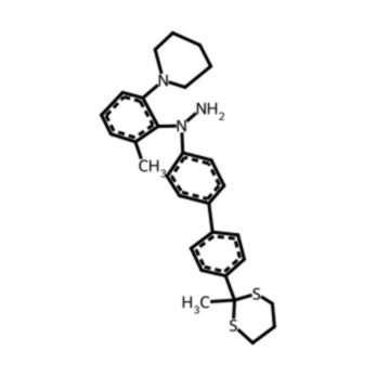 Cc1cccc(N2CCCCC2)c1N(N)c1ccc(-c2ccc(C3(C)SCCCS3)cc2)cc1